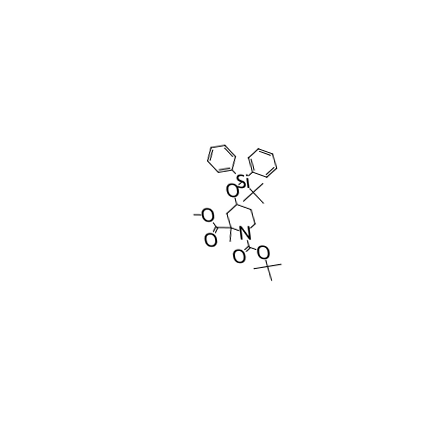 COC(=O)C1(C)CC(O[Si](c2ccccc2)(c2ccccc2)C(C)(C)C)CCN1C(=O)OC(C)(C)C